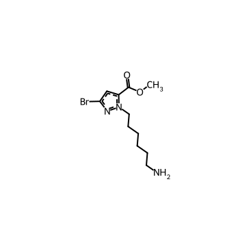 COC(=O)c1cc(Br)nn1CCCCCCN